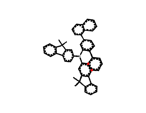 CC1(C)c2ccccc2-c2ccc(N(c3ccc4c(c3)C(C)(C)c3ccccc3-4)c3cc(-c4cccc5ccccc45)ccc3-c3ccccc3)cc21